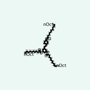 CCCCCCCC/C=C\CCCCCCCC(=O)Oc1ccc(C=Cc2cc(OC(=O)CCCCCCC/C=C\CCCCCCCC)cc(OC(=O)CCCCCCC/C=C\CCCCCCCC)c2)cc1